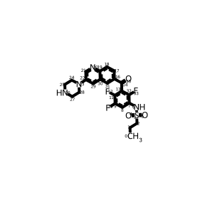 CCCS(=O)(=O)Nc1cc(F)c(F)c(C(=O)c2ccc3ncc(N4CCNCC4)cc3c2)c1F